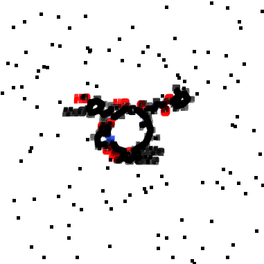 CO[C@H]1C[C@@H](C)C/C(C)=C/[C@@H](C/C=C/C(=O)OC2CC3CCC2(C)C3(C)C)C(=O)C[C@H](O)[C@@H](C)[C@@H](/C(C)=C/[C@@H]2CC[C@@H](O)[C@H](OC)C2)OC(=O)[C@@H]2CCCCN2C(=O)C(=O)[C@]2(O)O[C@H]1[C@@H](OC)C[C@H]2C